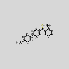 [2H]c1ccccc1C(=S)c1ccc(-c2ccc(C)cc2)cc1